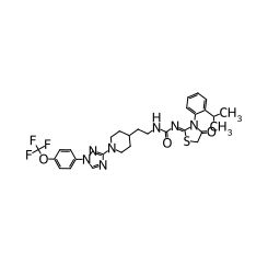 CC(C)c1ccccc1N1C(=O)CS/C1=N\C(=O)NCCC1CCN(c2ncn(-c3ccc(OC(F)(F)F)cc3)n2)CC1